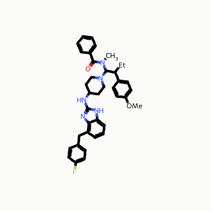 CCC(c1ccc(OC)cc1)C(N1CCC(Nc2nc3c(Cc4ccc(F)cc4)cccc3[nH]2)CC1)N(C)C(=O)c1ccccc1